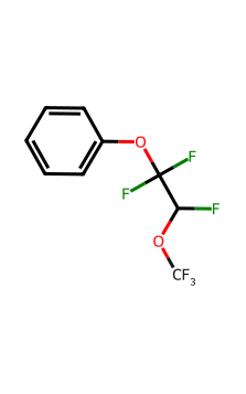 FC(OC(F)(F)F)C(F)(F)Oc1ccccc1